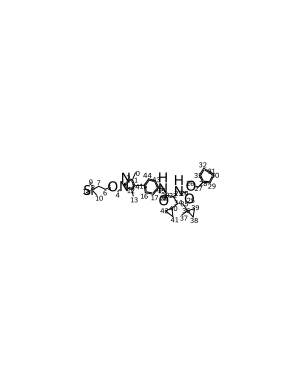 Cc1nn(COCC[Si](C)(C)C)c(C)c1-c1ccc(NC(=O)[C@@H](NC(=O)OCc2ccccc2)[C@H](CC2(C)CC2)C2CC2)cc1